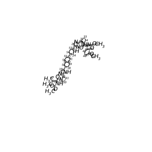 COC(=O)N[C@H](C(=O)N1CCC[C@H]1c1ncc(-c2ccc3cc(-c4ccc(-c5cnc([C@@H]6CCCN6C(=O)[C@H](NC(=O)OC)c6cccc(OC)c6)[nH]5)cc4)ccc3c2)[nH]1)C(C)C